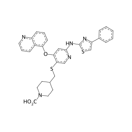 O=C(O)N1CCC(CSc2cnc(Nc3nc(-c4ccccc4)cs3)cc2Oc2cccc3ncccc23)CC1